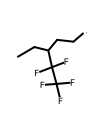 [CH2]CCC(CC)C(F)(F)C(F)(F)F